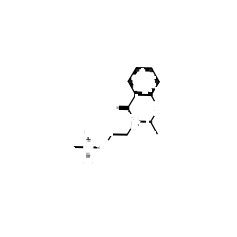 CC1Oc2ccccc2C(=O)N1CCOS(C)(=O)=O